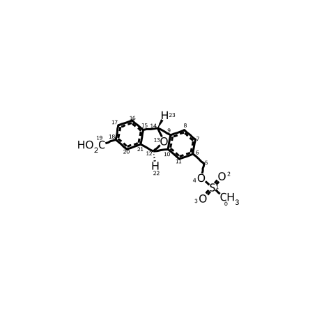 CS(=O)(=O)OCc1ccc2c(c1)[C@@H]1O[C@@H]2c2ccc(C(=O)O)cc21